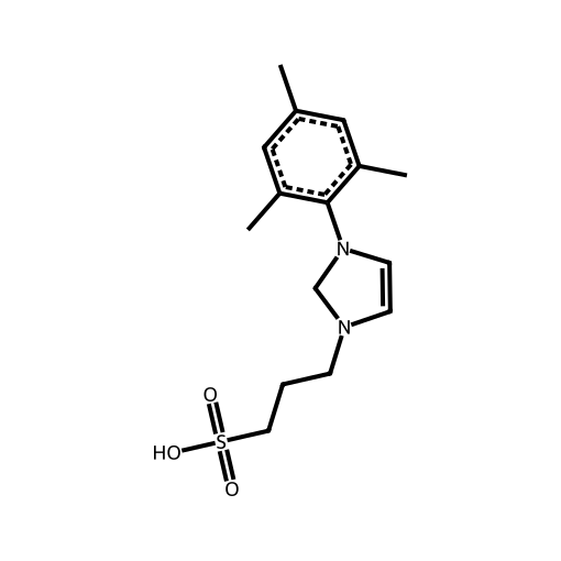 Cc1cc(C)c(N2C=CN(CCCS(=O)(=O)O)C2)c(C)c1